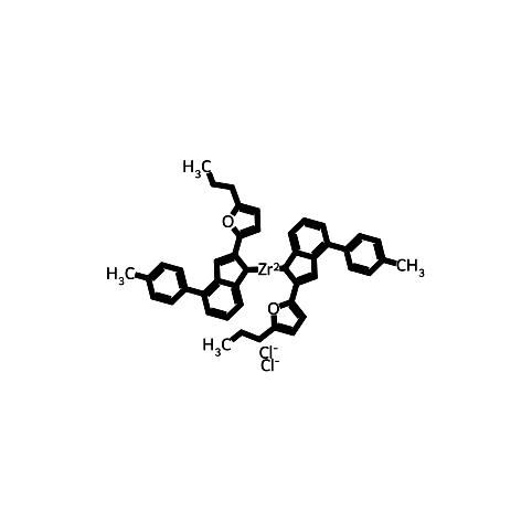 CCCc1ccc(C2=Cc3c(-c4ccc(C)cc4)cccc3[CH]2[Zr+2][CH]2C(c3ccc(CCC)o3)=Cc3c(-c4ccc(C)cc4)cccc32)o1.[Cl-].[Cl-]